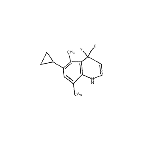 Cc1cc(C2CC2)c(C)c2c1NC=CC2(F)F